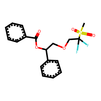 CS(=O)(=O)C(F)(F)COCC(OC(=O)c1ccccc1)c1ccccc1